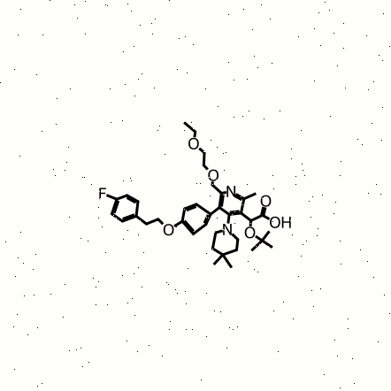 CCOCCOCc1nc(C)c(C(OC(C)(C)C)C(=O)O)c(N2CCC(C)(C)CC2)c1-c1ccc(OCCc2ccc(F)cc2)cc1